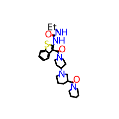 CCNC(=O)Nc1sc2ccccc2c1C(=O)N1CCC(N2CCCC(C(=O)N3CCCCC3)C2)CC1